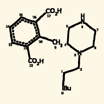 CCC(C)CCN1CCNCC1.Cc1c(C(=O)O)cccc1C(=O)O